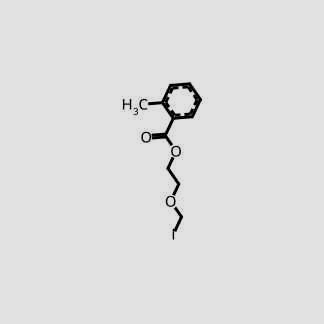 Cc1ccccc1C(=O)OCCOCI